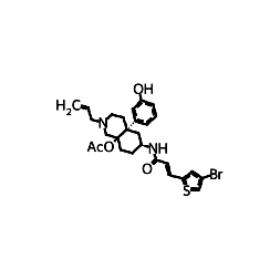 C=CCN1CC[C@@]2(c3cccc(O)c3)C[C@@H](NC(=O)C=Cc3cc(Br)cs3)CC[C@]2(OC(C)=O)C1